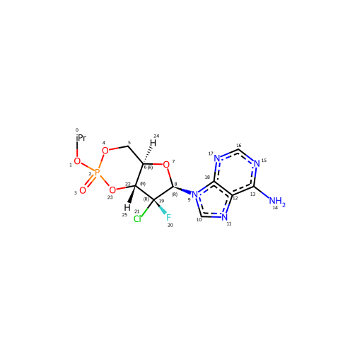 CC(C)OP1(=O)OC[C@H]2O[C@@H](n3cnc4c(N)ncnc43)[C@](F)(Cl)[C@@H]2O1